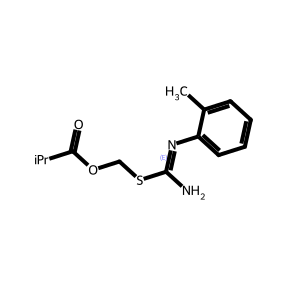 Cc1ccccc1/N=C(\N)SCOC(=O)C(C)C